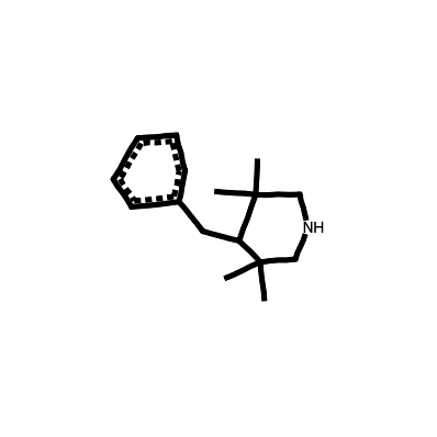 CC1(C)CNCC(C)(C)C1Cc1ccccc1